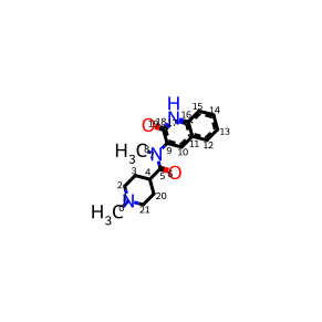 CN1CCC(C(=O)N(C)c2cc3ccccc3[nH]c2=O)CC1